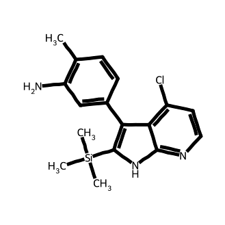 Cc1ccc(-c2c([Si](C)(C)C)[nH]c3nccc(Cl)c23)cc1N